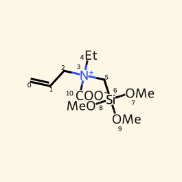 C=CC[N+](CC)(C[Si](OC)(OC)OC)C(=O)[O-]